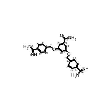 N=C(N)c1ccc(COc2cc(OCc3ccc(C(=N)N)cc3)cc(C(N)=O)c2)cc1